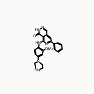 COc1cc(N2CCNCC2)ccc1Nc1nc(-c2ccccc2)cc2cn[nH]c(=O)c12